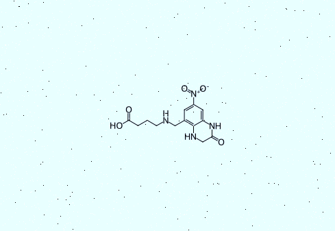 O=C(O)CCCNCc1cc([N+](=O)[O-])cc2c1NCC(=O)N2